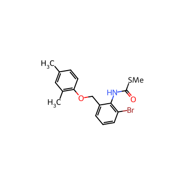 CSC(=O)Nc1c(Br)cccc1COc1ccc(C)cc1C